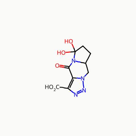 O=C(O)c1nnn2c1C(=O)N1C(CCC1(O)O)C2